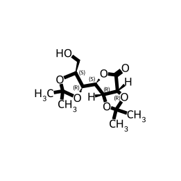 CC1(C)O[C@@H]([C@@H]2OC(=O)[C@@H]3OC(C)(C)O[C@H]23)[C@H](CO)O1